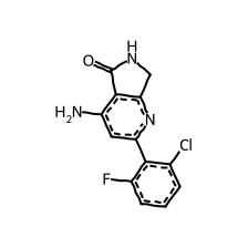 Nc1cc(-c2c(F)cccc2Cl)nc2c1C(=O)NC2